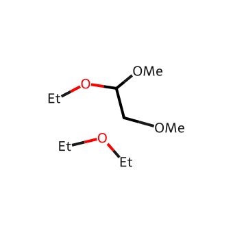 CCOC(COC)OC.CCOCC